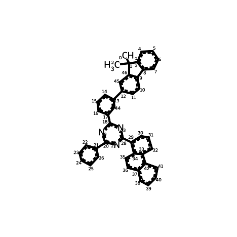 CC1(C)c2ccccc2-c2ccc(-c3cccc(-c4nc(-c5ccccc5)nc(-c5cccc6c5ccc5ccccc56)n4)c3)cc21